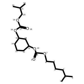 CC(C)CCCCOC(=O)OC1CCCC(OC(=O)OCC(C)C)C1